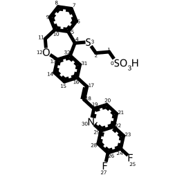 O=S(=O)(O)CCSC1c2ccccc2COc2ccc(C=Cc3ccc4cc(F)c(F)cc4n3)cc21